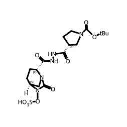 CC(C)(C)OC(=O)N1CC[C@@H](C(=O)NNC(=O)[C@H]2CC[C@H]3CN2C(=O)N3OS(=O)(=O)O)C1